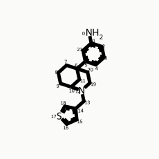 Nc1cccc(C23CCCC(C2)N(Cc2ccsc2)CC3)c1